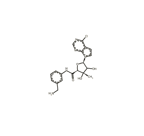 C[C@]1(O)C(O)[C@H](n2ccc3c(Cl)ncnc32)O[C@@H]1C(=O)Nc1cccc(CN)c1